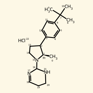 C[C@@H]1C(c2ccc(C(C)(C)C)cc2)CCN1C1N=CCCN1.Cl